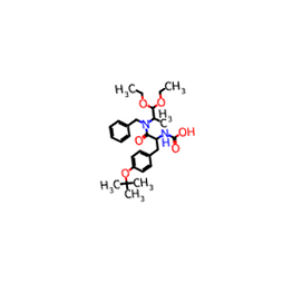 CCOC(OCC)C(C)N(Cc1ccccc1)C(=O)C(Cc1ccc(OC(C)(C)C)cc1)NC(=O)O